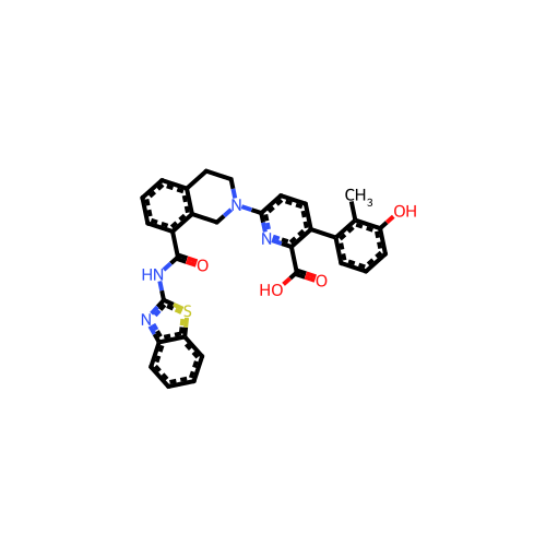 Cc1c(O)cccc1-c1ccc(N2CCc3cccc(C(=O)Nc4nc5ccccc5s4)c3C2)nc1C(=O)O